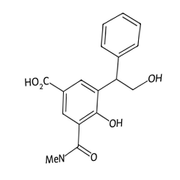 CNC(=O)c1cc(C(=O)O)cc(C(CO)c2ccccc2)c1O